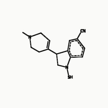 CN1CC=C(C2CN(S)c3ccc(C#N)cc32)CC1